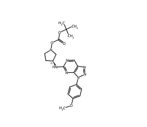 COc1ccc(-n2nnc3cnc(N[C@H]4CCN(OC(=O)OC(C)(C)C)C4)nc32)cc1